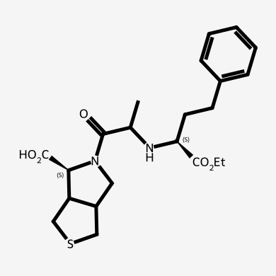 CCOC(=O)[C@H](CCc1ccccc1)NC(C)C(=O)N1CC2CSCC2[C@H]1C(=O)O